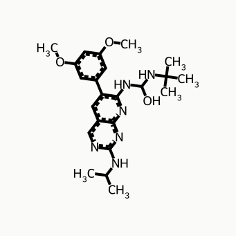 COc1cc(OC)cc(-c2cc3cnc(NC(C)C)nc3nc2NC(O)NC(C)(C)C)c1